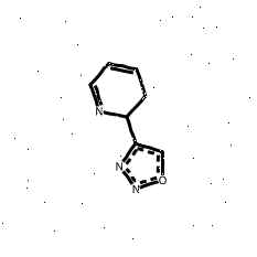 C1=CCC(c2conn2)N=C1